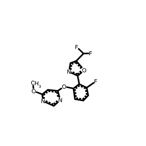 COc1cc(Oc2cccc(F)c2-c2ncc(C(F)F)o2)ncn1